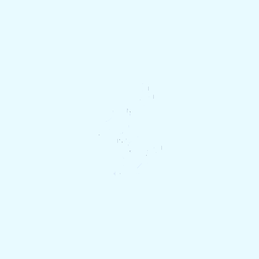 CC(=O)c1ccc(N2CCC(C)(C)CC2)cc1NC(=O)c1cc(C=O)ccc1C(=O)O